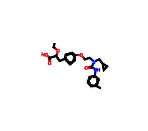 CCOC(Cc1ccc(OCCN(CC2CC2)C(=O)Nc2cccc(C)c2)cc1)C(=O)O